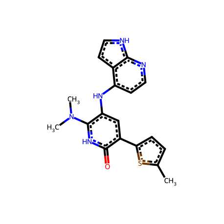 Cc1ccc(-c2cc(Nc3ccnc4[nH]ccc34)c(N(C)C)[nH]c2=O)s1